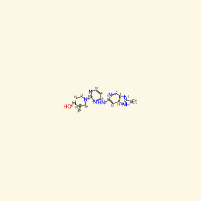 CCc1nc2cnc(Nc3ccnc(N4CC[C@@H](O)[C@@H](F)C4)n3)cc2[nH]1